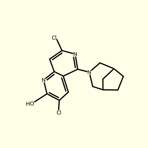 Oc1nc2cc(Cl)nc(N3CC4CCC(C4)C3)c2cc1Cl